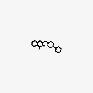 O=c1[nH]c(CN2CCN(c3ccccn3)CC2)nc2ccccc12